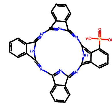 O=P(O)(O)c1cccc2c3nc4nc(nc5[nH]c(nc6nc(nc([nH]3)c12)-c1ccccc1-6)c1ccccc51)-c1ccccc1-4